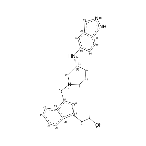 OCCn1cc(CN2CCC[C@@H](Nc3ccc4[nH]ncc4c3)C2)c2ccccc21